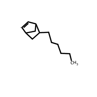 CCCCCCC1CC2[C]=CC1C2